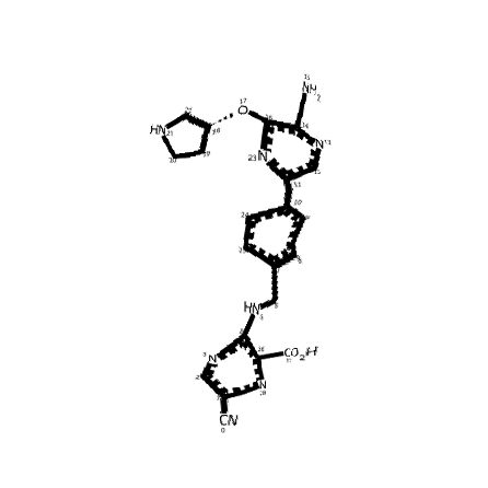 N#Cc1cnc(NCc2ccc(-c3cnc(N)c(O[C@@H]4CCNC4)n3)cc2)c(C(=O)O)n1